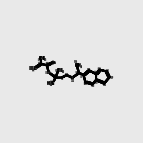 C=C(C)C(=O)OC(C)(C)CCOC(C)c1ccc2ccccc2c1